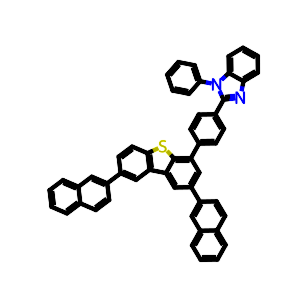 c1ccc(-n2c(-c3ccc(-c4cc(-c5ccc6ccccc6c5)cc5c4sc4ccc(-c6ccc7ccccc7c6)cc45)cc3)nc3ccccc32)cc1